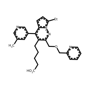 CCc1ccc2c(-c3cncc(C)c3)c(CCCCC(=O)O)c(COCc3ccccn3)nn12